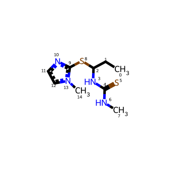 CCC(NC(=S)NC)Sc1nccn1C